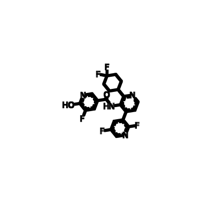 O=C(Nc1c(-c2cc(F)cnc2F)ccnc1C1CCC(F)(F)CC1)c1cnc(O)c(F)c1